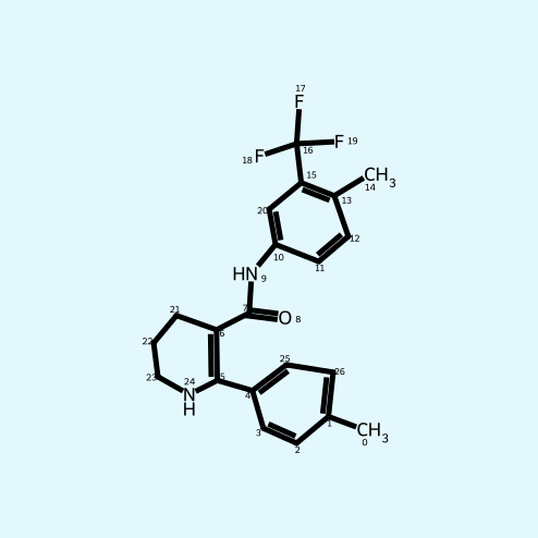 Cc1ccc(C2=C(C(=O)Nc3ccc(C)c(C(F)(F)F)c3)CCCN2)cc1